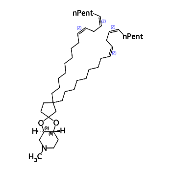 CCCCC/C=C\C/C=C\CCCCCCCCC1(CCCCCCCC/C=C\C/C=C\CCCCC)CCC2(C1)O[C@@H]1CCN(C)C[C@H]1O2